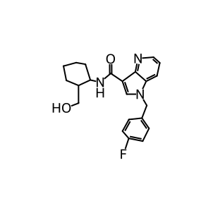 O=C(NC1CCCCC1CO)c1cn(Cc2ccc(F)cc2)c2cccnc12